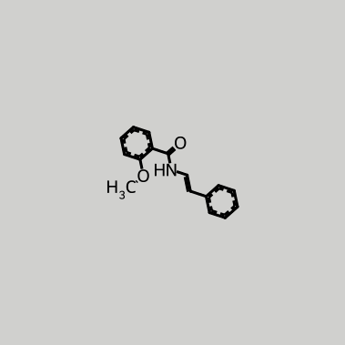 COc1ccccc1C(=O)NC=Cc1ccccc1